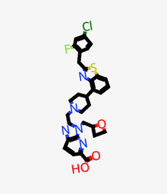 O=C(O)c1ccc2nc(CN3CCC(c4cccc5sc(Cc6ccc(Cl)cc6F)nc45)CC3)n(CC3CCO3)c2n1